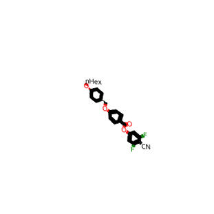 CCCCCCO[C@H]1CC[C@H](COc2ccc(C(=O)Oc3cc(F)c(C#N)c(F)c3)cc2)CC1